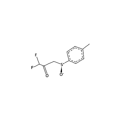 Cc1ccc([S@@+]([O-])CC(=O)C(F)F)cc1